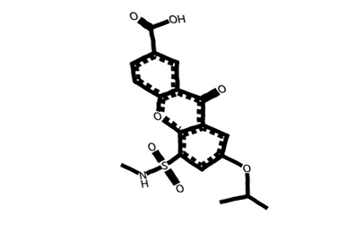 CNS(=O)(=O)c1cc(OC(C)C)cc2c(=O)c3cc(C(=O)O)ccc3oc12